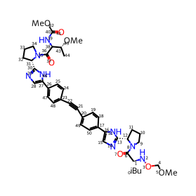 CC[C@H](C)[C@H](NOCOC)C(=O)N1CCC[C@H]1c1ncc(-c2ccc(C#Cc3ccc(-c4cnc([C@@H]5CCCN5C(=O)[C@@H](NC(=O)OC)[C@@H](C)OC)[nH]4)cc3)cc2)[nH]1